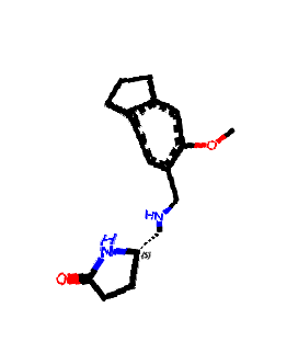 COc1cc2c(cc1CNC[C@@H]1CCC(=O)N1)CCC2